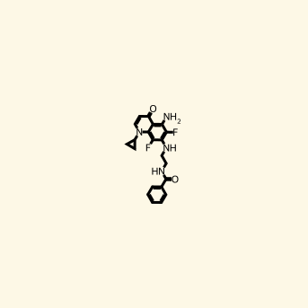 Nc1c(F)c(NCCNC(=O)c2ccccc2)c(F)c2c1c(=O)ccn2C1CC1